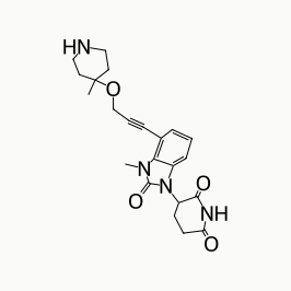 Cn1c(=O)n(C2CCC(=O)NC2=O)c2cccc(C#CCOC3(C)CCNCC3)c21